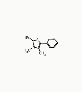 CC1=C(c2ccccc2)SC(C(C)C)N1C